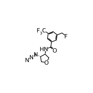 [N-]=[N+]=N[C@H]1COC[C@@H]1NC(=O)c1cc(CF)cc(C(F)(F)F)c1